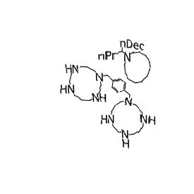 CCCCCCCCCCC(CCC)N1CCCCCCCCCCC1.c1cc(CN2CCCNCCNCCCNCC2)ccc1CN1CCCNCCNCCCNCC1